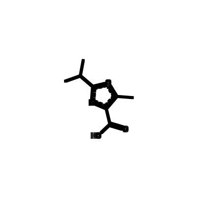 Cc1oc(C(C)C)nc1C(=O)O